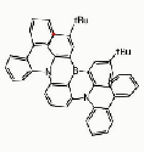 CC(C)(C)C1=CC2=C(CC1)N(c1ccccc1-c1ccccc1)c1cccc3c1B2c1cc(C(C)(C)C)ccc1N3c1ccccc1-c1ccccc1